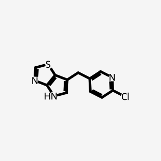 Clc1ccc(Cc2c[nH]c3ncsc23)cn1